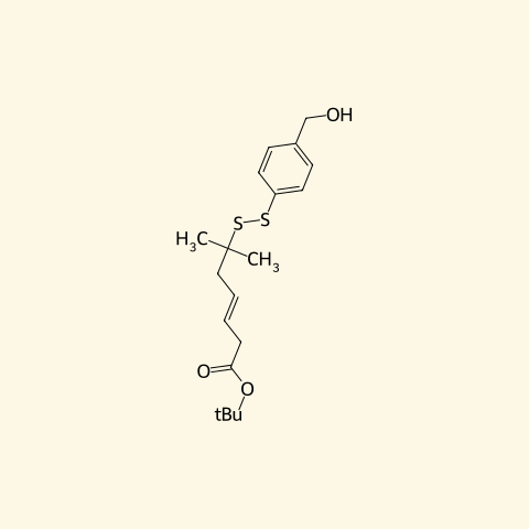 CC(C)(C)OC(=O)C/C=C/CC(C)(C)SSc1ccc(CO)cc1